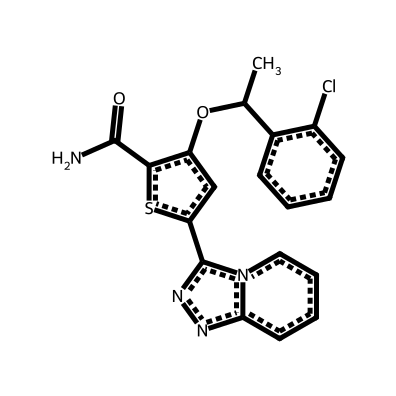 CC(Oc1cc(-c2nnc3ccccn23)sc1C(N)=O)c1ccccc1Cl